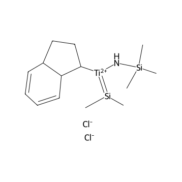 C[Si](C)=[Ti+2]([NH][Si](C)(C)C)[CH]1CCC2C=CC=CC21.[Cl-].[Cl-]